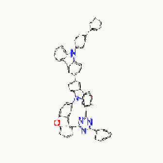 c1ccc(-c2ccc(-n3c4ccccc4c4cc(-c5ccc6c(c5)c5ccccc5n6-c5ccc6oc7cccc(-c8nc(-c9ccccc9)nc(-c9ccccc9)n8)c7c6c5)ccc43)cc2)cc1